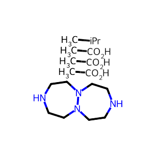 C1CN2CCNCCN2CCN1.CC(=O)O.CC(=O)O.CC(=O)O.CC(C)C